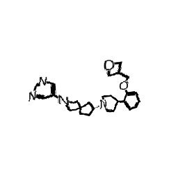 c1ccc(C2CCN([C@@H]3CCC4(C3)CN(c3cncnc3)C4)CC2)c(OCC2COC2)c1